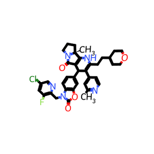 Cc1cc(C2=C(CCC3CCOCC3)NC3=C(C(=O)N4CCC[C@@]34C)C2c2ccc3c(c2)oc(=O)n3Cc2ncc(Cl)cc2F)ccn1